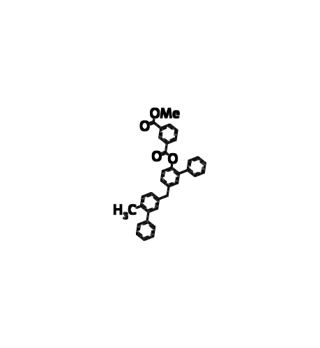 COC(=O)c1cccc(C(=O)Oc2ccc(Cc3ccc(C)c(-c4ccccc4)c3)cc2-c2ccccc2)c1